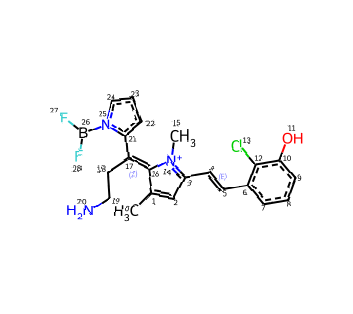 CC1=CC(/C=C/c2cccc(O)c2Cl)=[N+](C)C/1=C(/CCN)c1cccn1B(F)F